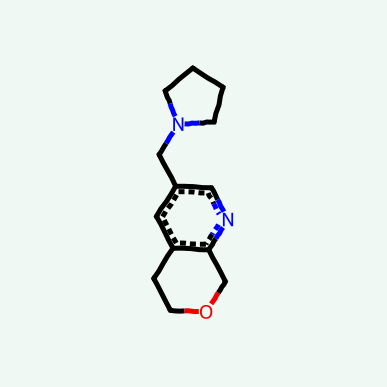 c1nc2c(cc1CN1CCCC1)CCOC2